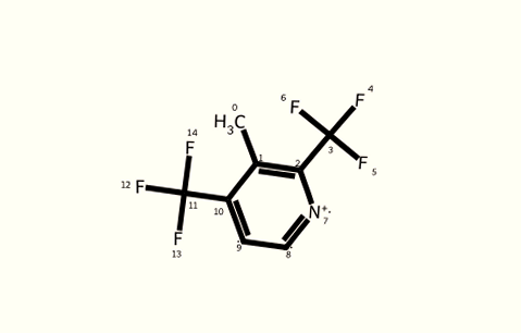 CC1=C(C(F)(F)F)[N+]=[C][C]=C1C(F)(F)F